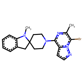 Cc1nc(N2CCC3(CC2)Cc2ccccc2N3C)c2ccnn2c1Br